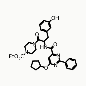 CCOC(=O)N1CCN(C(=O)C(Cc2cccc(O)c2)NC(=O)c2cc(OC3CCCC3)nc(-c3ccccc3)n2)CC1